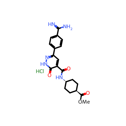 COC(=O)[C@H]1CC[C@H](NC(=O)c2cc(-c3ccc(C(=N)N)cc3)n[nH]c2=O)CC1.Cl